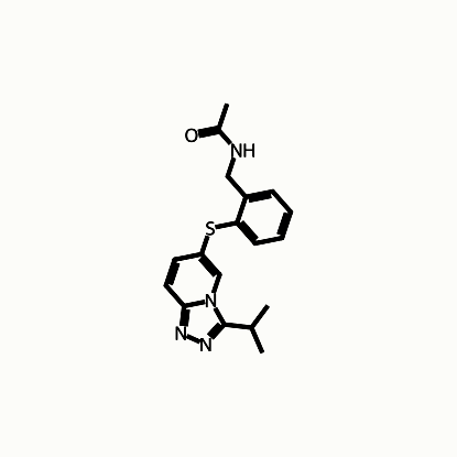 CC(=O)NCc1ccccc1Sc1ccc2nnc(C(C)C)n2c1